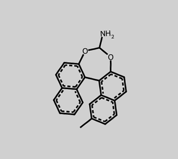 Cc1ccc2ccc3c(c2c1)-c1c(ccc2ccccc12)OC(N)O3